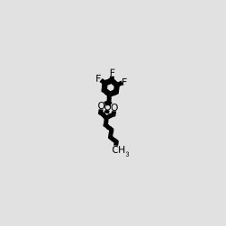 CCCCCC12COC(c3cc(F)c(F)c(F)c3)(OC1)OC2